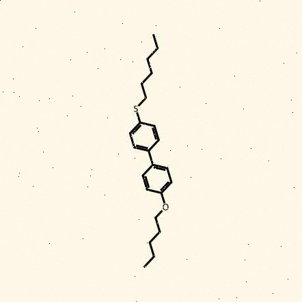 CCCCCCSc1ccc(-c2ccc(OCCCCC)cc2)cc1